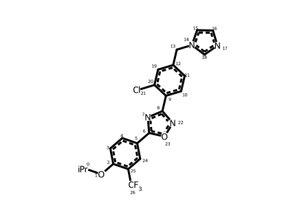 CC(C)Oc1ccc(-c2nc(-c3ccc(Cn4ccnc4)cc3Cl)no2)cc1C(F)(F)F